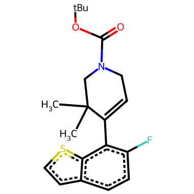 CC(C)(C)OC(=O)N1CC=C(c2c(F)ccc3ccsc23)C(C)(C)C1